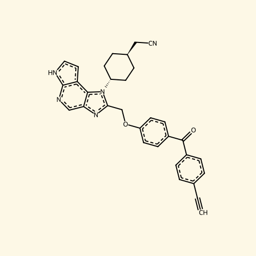 C#Cc1ccc(C(=O)c2ccc(OCc3nc4cnc5[nH]ccc5c4n3[C@H]3CC[C@H](CC#N)CC3)cc2)cc1